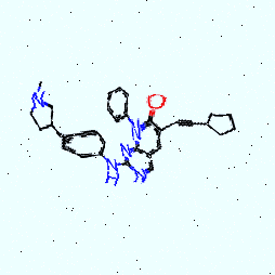 CN1CCC(c2ccc(Nc3ncc4cc(C#CC5CCCC5)c(=O)n(-c5ccccc5)c4n3)cc2)C1